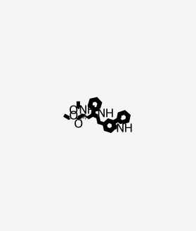 CCOC(=O)[C@H](Cc1c(Cc2ccc3[nH]c4ccccc4c3c2)[nH]c2ccccc12)NC(C)=O